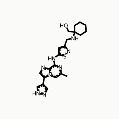 Cc1cn2c(-c3cn[nH]c3)cnc2c(Nc2cc(CNC3(CO)CCCCC3)ns2)n1